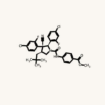 COC(=O)c1ccc(NC(=O)N2C[C@@H](CC(C)(C)C)[C@](C#N)(c3ccc(Cl)cc3F)[C@H]2c2ccc(Cl)cc2F)cc1